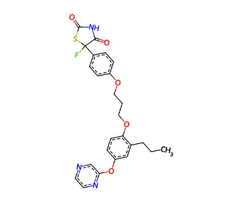 CCCc1cc(Oc2cnccn2)ccc1OCCCOc1ccc(C2(F)SC(=O)NC2=O)cc1